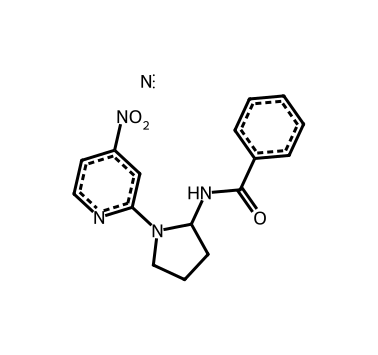 O=C(NC1CCCN1c1cc([N+](=O)[O-])ccn1)c1ccccc1.[N]